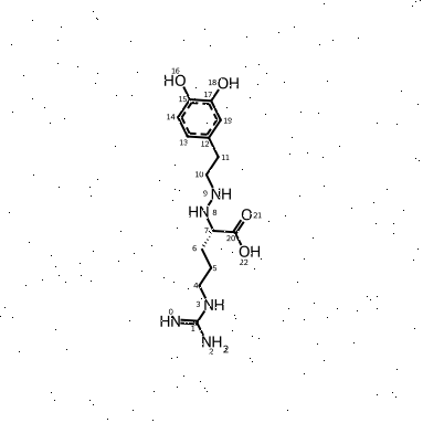 N=C(N)NCCC[C@H](NNCCc1ccc(O)c(O)c1)C(=O)O